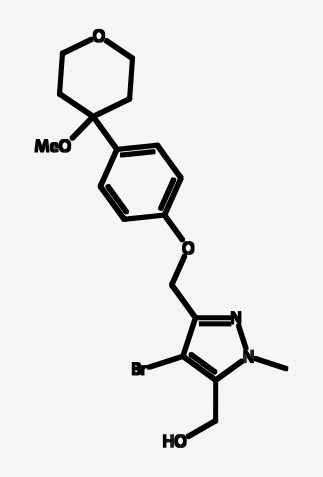 COC1(c2ccc(OCc3nn(C)c(CO)c3Br)cc2)CCOCC1